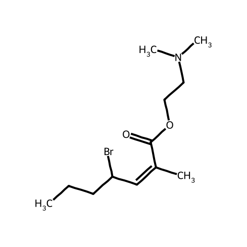 CCCC(Br)C=C(C)C(=O)OCCN(C)C